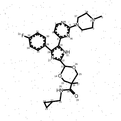 CN1CCN(c2nccc(-c3[nH]c(C4OCC(C)(C(=O)NCC5CC5)CO4)nc3-c3ccc(F)cc3)n2)CC1